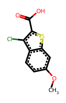 COc1ccc2c(Cl)c(C(=O)O)sc2c1